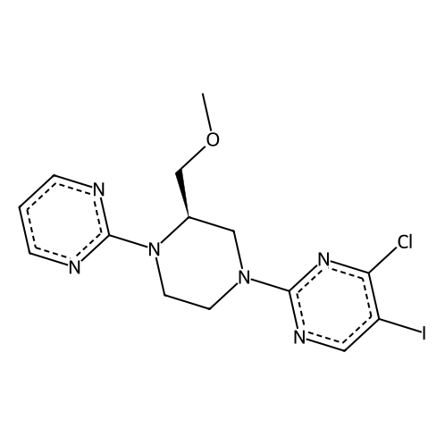 COC[C@H]1CN(c2ncc(I)c(Cl)n2)CCN1c1ncccn1